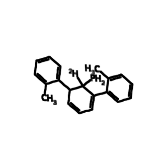 [2H]C1(P)C(c2ccccc2C)=CC=CC1c1ccccc1C